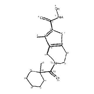 Cc1c(C(=O)NO)sc2c1CN(C(=O)C1(C)CCCCC1)CC2